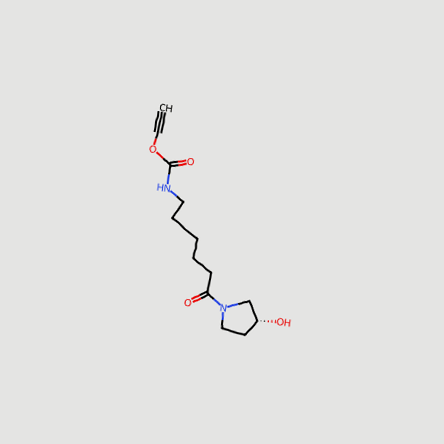 C#COC(=O)NCCCCCC(=O)N1CC[C@@H](O)C1